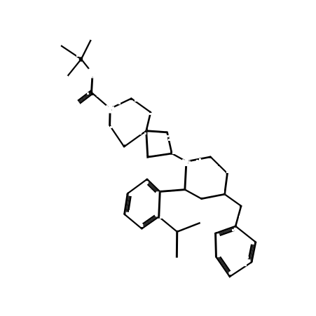 CC(C)c1ccccc1C1CC(Cc2ccccc2)CCN1C1CC2(CCN(C(=O)OC(C)(C)C)CC2)C1